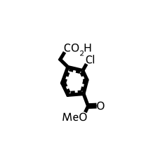 COC(=O)c1ccc(CC(=O)O)c(Cl)c1